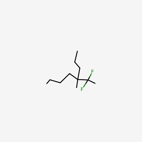 CCCCC(C)(CCC)C(C)(F)F